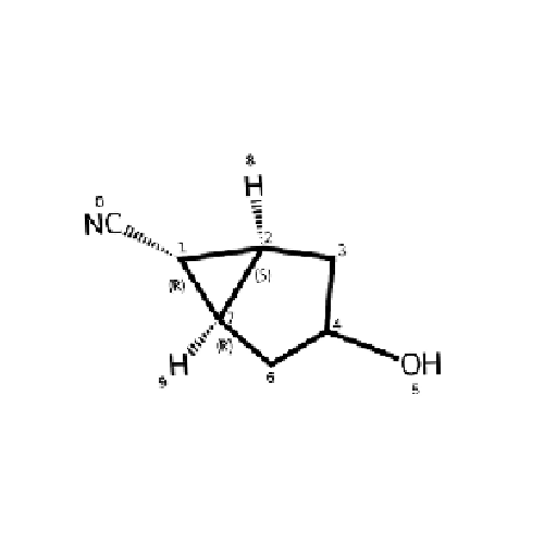 N#C[C@@H]1[C@H]2CC(O)C[C@@H]12